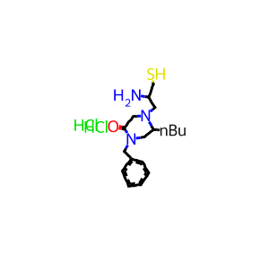 CCCCC1CN(Cc2ccccc2)C(=O)CN1CC(N)CS.Cl.Cl